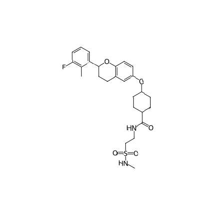 CNS(=O)(=O)CCNC(=O)C1CCC(Oc2ccc3c(c2)CCC(c2cccc(F)c2C)O3)CC1